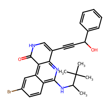 CC(Nc1nc2c(C#CC(O)c3ccccc3)c[nH]c(=O)c2c2cc(Br)ccc12)C(C)(C)C